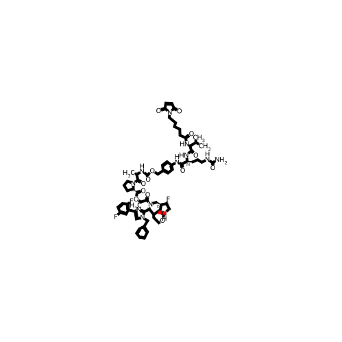 CC(C)[C@H](NC(=O)CCCCCN1C(=O)C=CC1=O)C(=O)N[C@@H](CCCNC(N)=O)C(=O)Nc1ccc(COC(=O)N[C@H](C)C(=O)N2CCC[C@H]2C(=O)O[C@@H](C)C(=O)N(C[C@@H]2CNC[C@@H]2F)[C@@H](c2nc(-c3cc(F)ccc3F)cn2Cc2ccccc2)C2CCOCC2)cc1